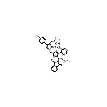 CC(C)(C)OCC(c1nc(Cn2nc(-c3ccc(Cl)cc3)n(CC(O)C(F)(F)F)c2=O)nn1-c1ncccc1Cl)N1C(=O)c2ccccc2C1=O